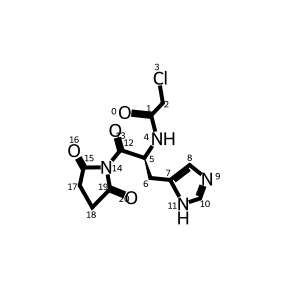 O=C(CCl)N[C@@H](Cc1cnc[nH]1)C(=O)N1C(=O)CCC1=O